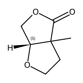 CC12CCO[C@@H]1COC2=O